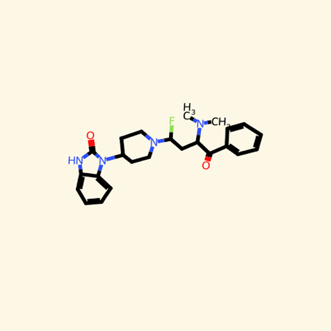 CN(C)C(CC(F)N1CCC(n2c(=O)[nH]c3ccccc32)CC1)C(=O)c1ccccc1